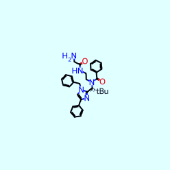 CC(C)(C)[C@H](c1nc(-c2ccccc2)cn1Cc1ccccc1)N(CCNC(=O)CN)C(=O)c1ccccc1